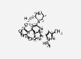 Cc1cc(-c2nsc3c(-c4c(C)noc4C)cc(N4CCOC[C@H]4C)nc23)n(PI)n1